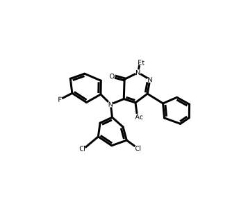 CCn1nc(-c2ccccc2)c(C(C)=O)c(N(c2cccc(F)c2)c2cc(Cl)cc(Cl)c2)c1=O